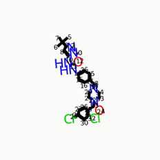 Cn1nc(C(C)(C)C)cc1NC(=O)Nc1ccc(CN2CCN(C(=O)c3ccc(Cl)cc3Cl)CC2)cc1